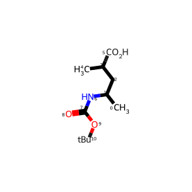 CC(CC(C)C(=O)O)NC(=O)OC(C)(C)C